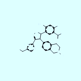 CCc1cnc(C2=NOC(c3cc(C(C)C)c(O)cc3O)C2c2ccc3c(c2)CCN(C)C3)[nH]1